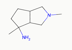 CN1CC2CCC(C)(N)C2C1